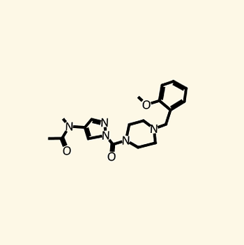 COc1ccccc1CN1CCN(C(=O)n2cc(N(C)C(C)=O)cn2)CC1